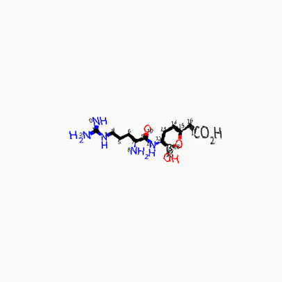 N=C(N)NCCC[C@@H](N)C(=O)N[C@H]1CC[C@@H](CC(=O)O)OB1O